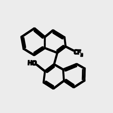 Oc1ccc2ccccc2c1-c1c(C(F)(F)F)ccc2ccccc12